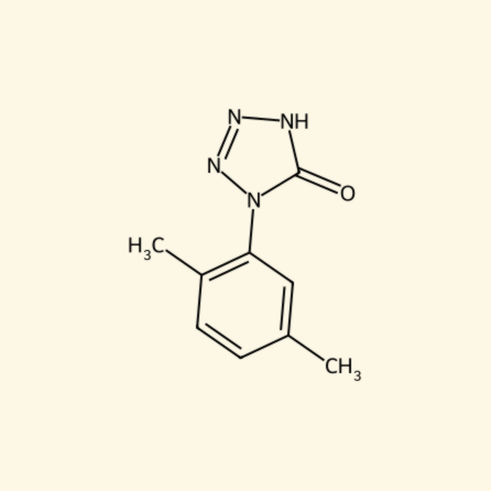 Cc1ccc(C)c(-n2nn[nH]c2=O)c1